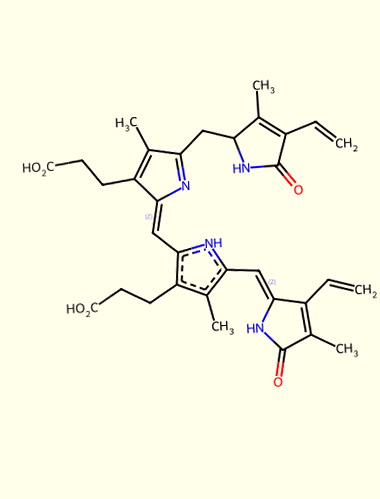 C=CC1=C(C)C(CC2=N/C(=C\c3[nH]c(/C=C4\NC(=O)C(C)=C4C=C)c(C)c3CCC(=O)O)C(CCC(=O)O)=C2C)NC1=O